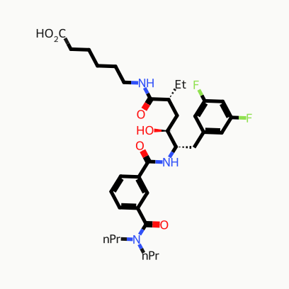 CCCN(CCC)C(=O)c1cccc(C(=O)N[C@@H](Cc2cc(F)cc(F)c2)[C@@H](O)C[C@@H](CC)C(=O)NCCCCCC(=O)O)c1